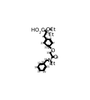 CCO[C@@](CC)(Cc1ccc(OCC(=O)N(CC)Cc2ccccc2)cc1)C(=O)O